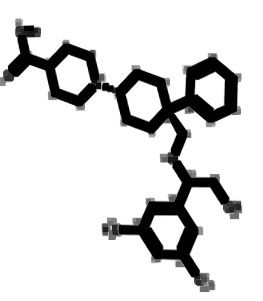 COC(=O)C1CCN([C@H]2CC[C@@](COC(CO)c3cc(C(F)(F)F)cc(C(F)(F)F)c3)(c3ccccc3)CC2)CC1